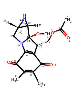 CO[C@@]12[C@H](COC(C)=O)C3=C(C(=O)C(C)=C(C)C3=O)N1C[C@@H]1N[C@@H]12